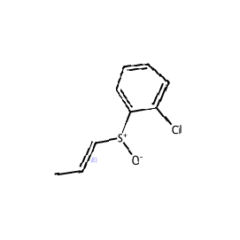 C/C=C/[S+]([O-])c1ccccc1Cl